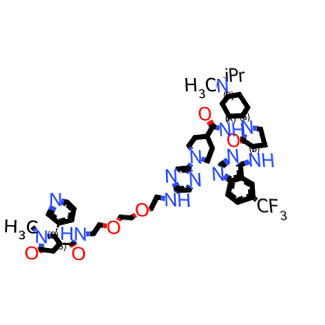 CC(C)N(C)[C@@H]1CC[C@H](N2CC[C@H](Nc3ncnc4ccc(C(F)(F)F)cc34)C2=O)[C@H](NC(=O)C2CCN(c3cnc(NCCOCCOCCNC(=O)[C@H]4CC(=O)N(C)[C@@H]4c4cccnc4)cn3)CC2)C1